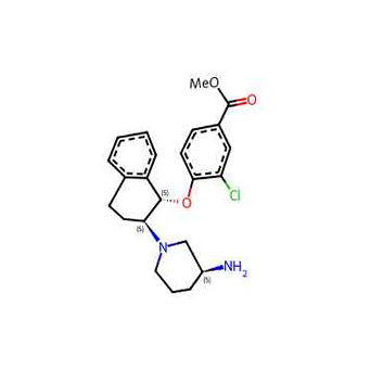 COC(=O)c1ccc(O[C@H]2c3ccccc3CC[C@@H]2N2CCC[C@H](N)C2)c(Cl)c1